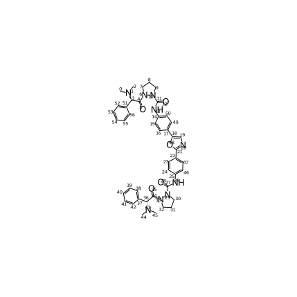 CN(C)[C@@H](C(=O)N1CCCN1C(=O)Nc1ccc(-c2cnc(-c3ccc(NC(=O)N4CCCN4C(=O)[C@@H](c4ccccc4)N(C)C)cc3)o2)cc1)c1ccccc1